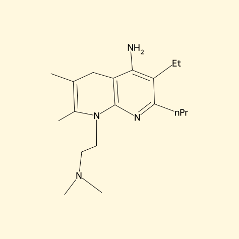 CCCc1nc2c(c(N)c1CC)CC(C)=C(C)N2CCN(C)C